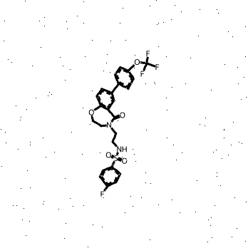 O=C1c2cc(-c3ccc(OC(F)(F)F)cc3)ccc2OCCN1CCNS(=O)(=O)c1ccc(F)cc1